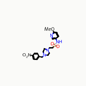 COc1ccc(NS(=O)(=O)CCN2CCN(Cc3ccc([N+](=O)[O-])cc3)CC2)cn1